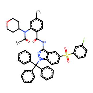 O=C(Nc1nn(C(c2ccccc2)(c2ccccc2)c2ccccc2)c2ccc(S(=O)(=O)c3cccc(F)c3)cc12)c1ccc([N+](=O)[O-])cc1N(C(=O)C(F)(F)F)C1CCOCC1